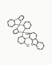 OC1(c2cccc(Cl)c2-c2cccc3c2oc2ccccc23)c2ccccc2C2(c3ccccc3-c3ccccc32)c2ccccc21